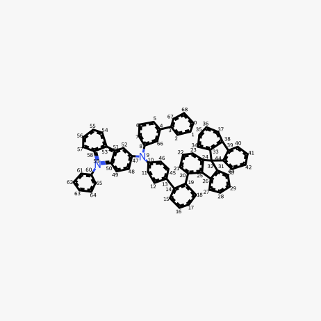 c1ccc(-c2cccc(N(c3ccc(-c4ccccc4-c4cccc5c4-c4ccccc4C54c5ccccc5-c5ccccc54)cc3)c3ccc4c(c3)c3ccccc3n4-c3ccccc3)c2)cc1